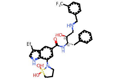 CCc1c[nH]c2c(N3CCCS3(O)O)cc(C(=O)N[C@@H](Cc3ccccc3)[C@@H](O)CNCc3cccc(C(F)(F)F)c3)cc12